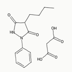 CCCCC1C(=O)NN(c2ccccc2)C1=O.O=C(O)CC(=O)O